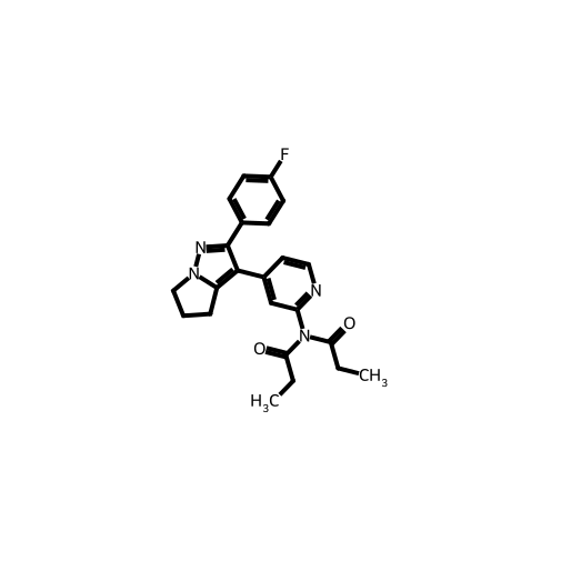 CCC(=O)N(C(=O)CC)c1cc(-c2c(-c3ccc(F)cc3)nn3c2CCC3)ccn1